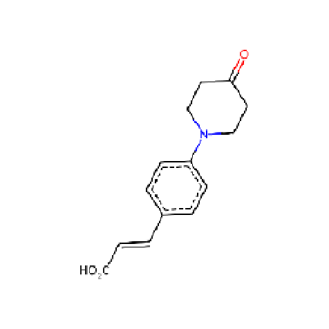 O=C(O)C=Cc1ccc(N2CCC(=O)CC2)cc1